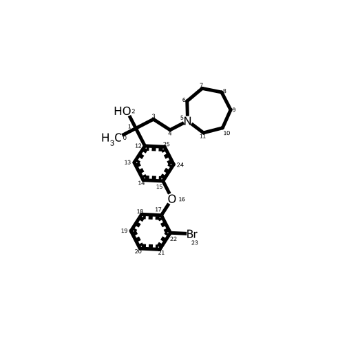 CC(O)(CCN1CCCCCC1)c1ccc(Oc2ccccc2Br)cc1